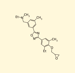 CCc1cc(-c2noc(-c3cc(C)cc(CN(C)CC)c3)n2)cc(C)c1OCC1CO1